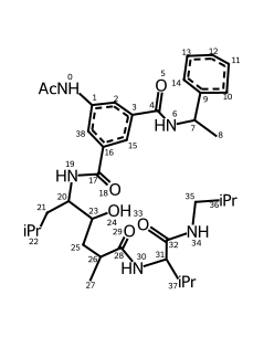 CC(=O)Nc1cc(C(=O)NC(C)c2ccccc2)cc(C(=O)NC(CC(C)C)C(O)CC(C)C(=O)NC(C(=O)NCC(C)C)C(C)C)c1